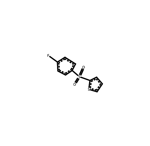 O=S(=O)(c1ccc(F)cc1)c1cccs1